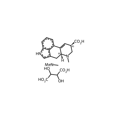 CN1C[C@H](C(=O)O)C=C2c3cccc4[nH]cc(c34)C[C@H]21.CNC.O=C(O)C(O)C(O)C(=O)O